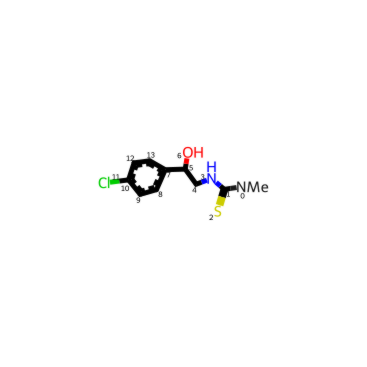 CNC(=S)NCC(O)c1ccc(Cl)cc1